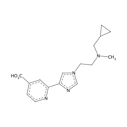 CN(CCn1cnc(-c2cc(C(=O)O)ccn2)c1)CC1CC1